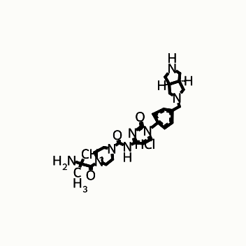 CC(C)(N)C(=O)N1CCN(C(=O)Nc2ccn(-c3ccc(CN4C[C@H]5CNC[C@H]5C4)cc3)c(=O)n2)CC1.Cl